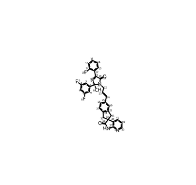 C[C@@]1(c2cc(F)cc(F)c2)N=C(c2ccccc2F)C(=O)N1C/C=C/c1ccc2c(c1)CC1(C2)C(=O)Nc2ncccc21